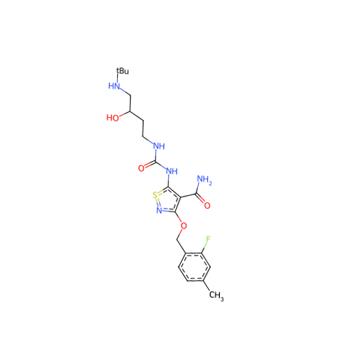 Cc1ccc(COc2nsc(NC(=O)NCCC(O)CNC(C)(C)C)c2C(N)=O)c(F)c1